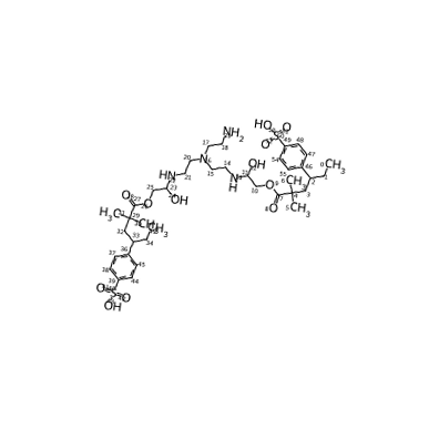 CCC(CC(C)(C)C(=O)OCC(O)NCCN(CCN)CCNC(O)COC(=O)C(C)(C)CC(CC)c1ccc(S(=O)(=O)O)cc1)c1ccc(S(=O)(=O)O)cc1